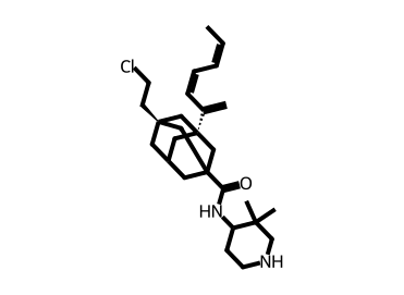 C=C(/C=C\C=C/C)[C@]12CC3CC(C(=O)NC4CCNCC4(C)C)(C[C@](CCCl)(C3)C1)C2